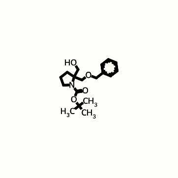 CC(C)(C)OC(=O)N1CCCC1(CO)COCc1ccccc1